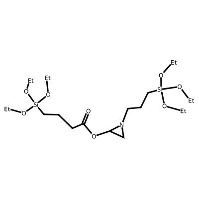 CCO[Si](CCCC(=O)OC1CN1CCC[Si](OCC)(OCC)OCC)(OCC)OCC